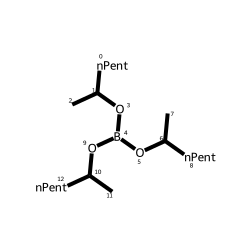 CCCCCC(C)OB(OC(C)CCCCC)OC(C)CCCCC